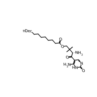 CCCCCCCCCCCCCCCCCC(=O)OCC(C)(C)[C@H](N)C(=O)c1cnc(=O)[nH]c1N